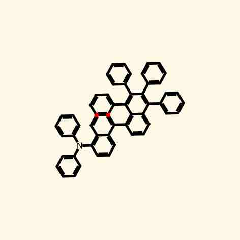 c1ccc(-c2c(-c3ccccc3)c(-c3ccccc3)c3c(-c4cccc5c(N(c6ccccc6)c6ccccc6)cccc45)cccc3c2-c2ccccc2)cc1